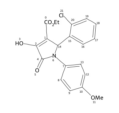 CCOC(=O)C1=C(O)C(=O)N(c2ccc(OC)cc2)C1c1ccccc1Cl